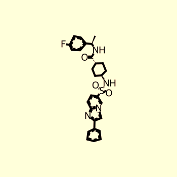 C[C@@H](NC(=O)[C@H]1CC[C@H](NS(=O)(=O)c2ccc3nc(-c4ccccc4)cn3c2)CC1)c1ccc(F)cc1